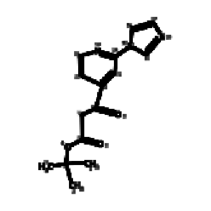 CC(C)(C)OC(=O)CC(=O)c1ccnc(-n2ccnc2)c1